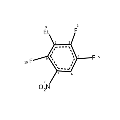 CCc1c(F)c(F)cc([N+](=O)[O-])c1F